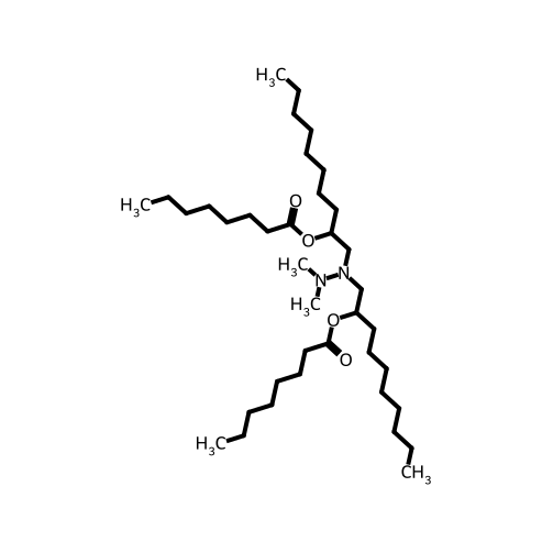 CCCCCCCCC(CN(CC(CCCCCCCC)OC(=O)CCCCCCC)N(C)C)OC(=O)CCCCCCC